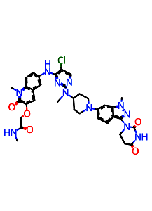 CNC(=O)COc1cc2cc(Nc3nc(N(C)C4CCN(c5ccc6c(N7CCC(=O)NC7=O)nn(C)c6c5)CC4)ncc3Cl)ccc2n(C)c1=O